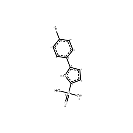 O=P(O)(O)c1ccc(-c2ccc(F)cc2)o1